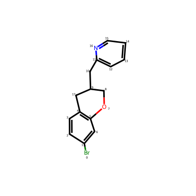 Brc1ccc2c(c1)OCC(Cc1ccccn1)C2